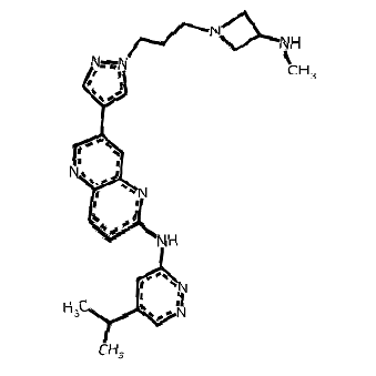 CNC1CN(CCCn2cc(-c3cnc4ccc(Nc5cc(C(C)C)cnn5)nc4c3)cn2)C1